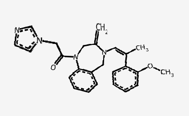 C=C1CN(C(=O)Cn2ccnc2)c2ccccc2CN1C=C(C)c1ccccc1OC